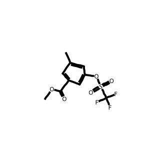 COC(=O)c1cc(C)cc(OS(=O)(=O)C(F)(F)F)c1